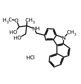 COC(O)C(C)(CO)NCc1ccc2c(c1)c1c3ccccc3ccc1n2C.Cl